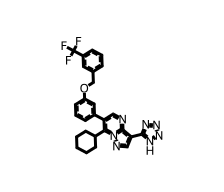 FC(F)(F)c1cccc(COc2cccc(-c3cnc4c(-c5nnn[nH]5)cnn4c3C3CCCCC3)c2)c1